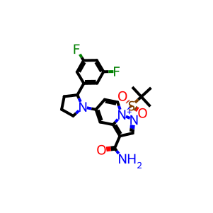 CC(C)(C)S(=O)(=O)[N@+]12C=CC(N3CCCC3c3cc(F)cc(F)c3)=CC1=C(C(N)=O)C=N2